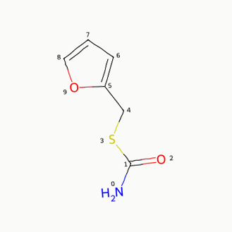 NC(=O)SCc1ccco1